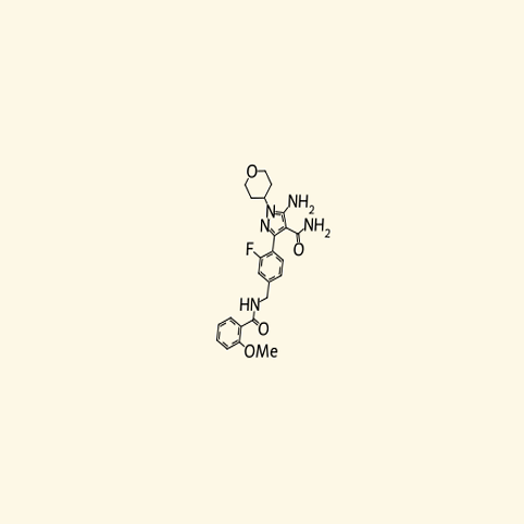 COc1ccccc1C(=O)NCc1ccc(-c2nn(C3CCOCC3)c(N)c2C(N)=O)c(F)c1